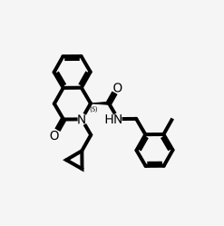 Cc1ccccc1CNC(=O)[C@@H]1c2ccccc2CC(=O)N1CC1CC1